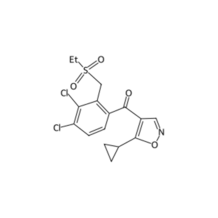 CCS(=O)(=O)Cc1c(C(=O)c2cnoc2C2CC2)ccc(Cl)c1Cl